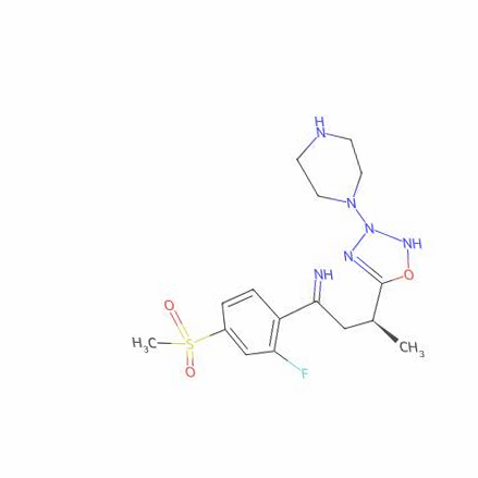 C[C@@H](CC(=N)c1ccc(S(C)(=O)=O)cc1F)C1=NN(N2CCNCC2)NO1